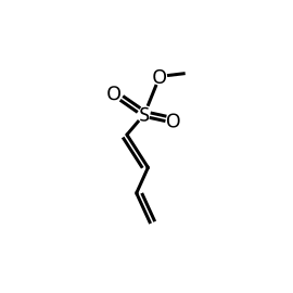 C=CC=CS(=O)(=O)OC